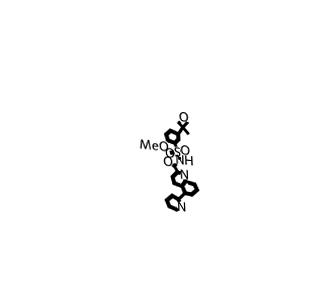 COc1ccc(C2(C)COC2)cc1S(=O)(=O)NC(=O)c1ccc2c(-c3ccccn3)cccc2n1